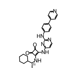 C[C@H](Nc1c(Nc2ccnc(Nc3ccc(-c4ccncc4)cc3)n2)c(=O)c1=O)C1CCCCC1